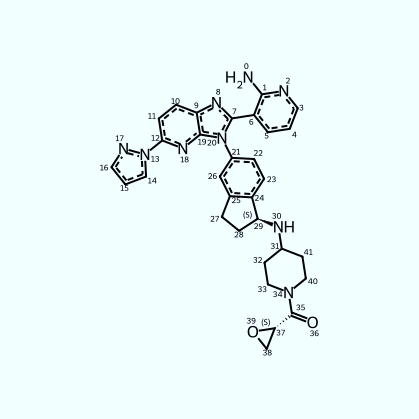 Nc1ncccc1-c1nc2ccc(-n3cccn3)nc2n1-c1ccc2c(c1)CC[C@@H]2NC1CCN(C(=O)[C@@H]2CO2)CC1